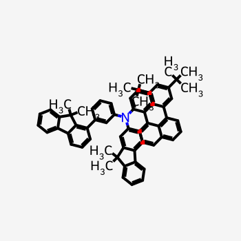 CC(C)(C)c1cc(-c2cccc3cccc(-c4ccccc4N(c4cccc(-c5cccc6c5C(C)(C)c5ccccc5-6)c4)c4ccc5c(c4)C(C)(C)c4ccccc4-5)c23)cc(C(C)(C)C)c1